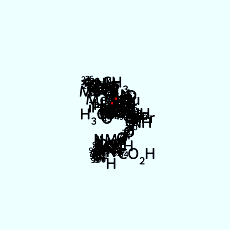 CC[C@H](C)[C@@H]([C@@H](CC(=O)N1CCC[C@H]1[C@H](OC)[C@@H](C)C(=O)N[C@@H](Cc1ccccc1)c1nccs1)OC)N(C)C(=O)[C@@H](NC(=O)[C@H](C(C)C)N(C)C(=O)OCc1ccc(NC(=O)[C@H](CCCNC(N)=O)NC(=O)[C@@H](NC(=O)CCOCCOCCNC(=O)[C@H](CCC(=O)O)NC(=O)CCn2c(CN(C)NC)cc3cccnc32)C(C)C)cc1)C(C)C